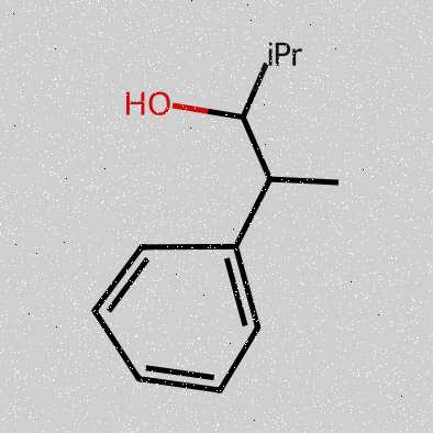 CC(C)C(O)C(C)c1ccccc1